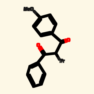 COc1ccc(C(=O)C(C(=O)c2ccccc2)C(C)C)cc1